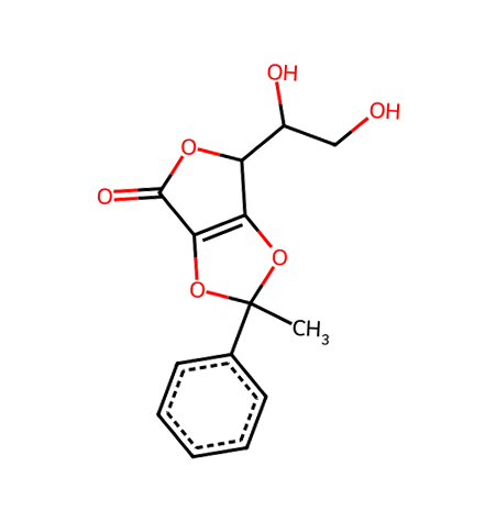 CC1(c2ccccc2)OC2=C(O1)C(C(O)CO)OC2=O